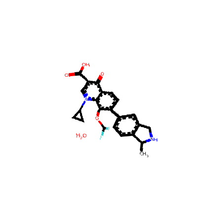 CC1NCc2cc(-c3ccc4c(=O)c(C(=O)O)cn(C5CC5)c4c3OC(F)F)ccc21.O